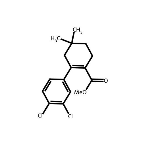 COC(=O)C1=C(c2ccc(Cl)c(Cl)c2)CC(C)(C)CC1